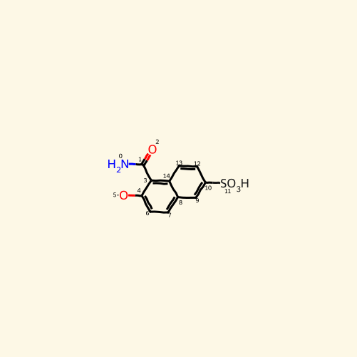 NC(=O)c1c([O])ccc2cc(S(=O)(=O)O)ccc12